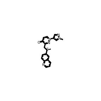 C[C@H](Cc1nn(-c2cnn(C)c2)ccc1=O)c1ccc2ncccc2c1